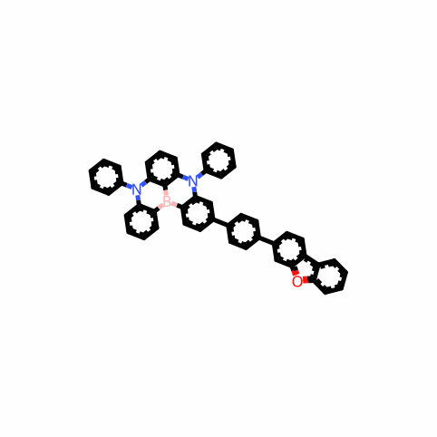 c1ccc(N2c3ccccc3B3c4ccc(-c5ccc(-c6ccc7c(c6)oc6ccccc67)cc5)cc4N(c4ccccc4)c4cccc2c43)cc1